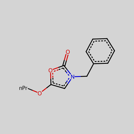 CCCOc1cn(Cc2ccccc2)c(=O)o1